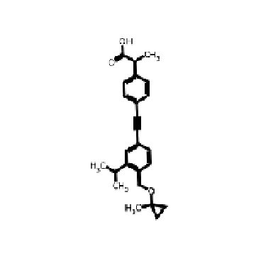 CC(C)c1cc(C#Cc2ccc(C(C)C(=O)O)cc2)ccc1COC1(C)CC1